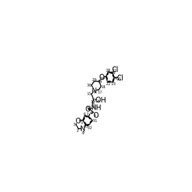 CN1CCOc2cc(S(=O)(=O)NC[C@@H](O)CN3CCC(Oc4ccc(Cl)c(Cl)c4)CC3)ccc21